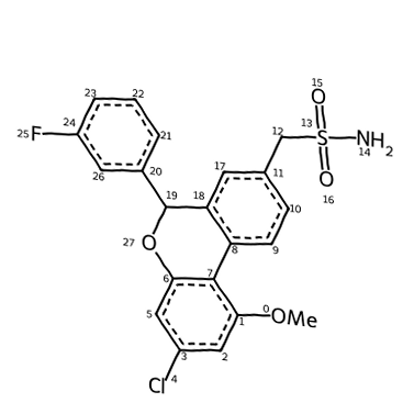 COc1cc(Cl)cc2c1-c1ccc(CS(N)(=O)=O)cc1C(c1cccc(F)c1)O2